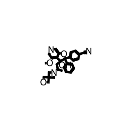 COc1cncc2c1C(O)(CC(C)N1CC3(COC3)C1)C(c1ccccc1)(c1ccc(C#N)cc1)O2